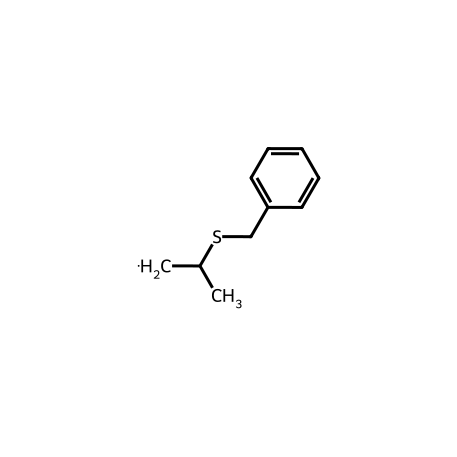 [CH2]C(C)SCc1ccccc1